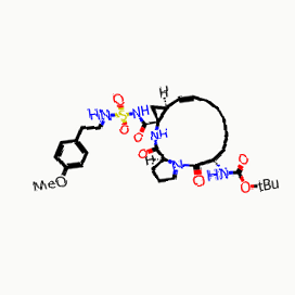 COc1ccc(CCNS(=O)(=O)NC(=O)[C@@]23C[C@H]2/C=C\CCCCC[C@H](NC(=O)OC(C)(C)C)C(=O)N2CCC[C@H]2C(=O)N3)cc1